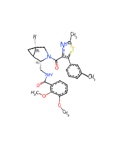 COc1cccc(C(=O)NC[C@@H]2C3C[C@H]3CN2C(=O)c2nc(C)sc2-c2cccc(C)c2)c1OC